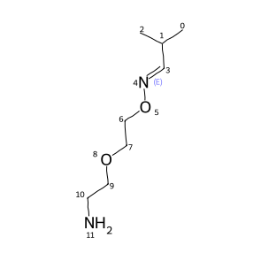 CC(C)/C=N/OCCOCCN